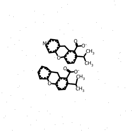 CC(C)c1ccc2c(c1C(=O)[O-])Cc1ccccc1O2.CC(C)c1ccc2c(c1C(=O)[O-])Cc1ccccc1O2.[Ni+2]